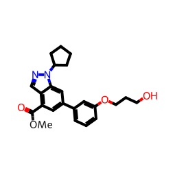 COC(=O)c1cc(-c2cccc(OCCCO)c2)cc2c1cnn2C1CCCC1